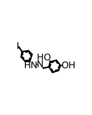 Oc1ccc(C=NNc2ccc(I)cc2)c(O)c1